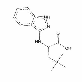 CC(C)(C)CC(Nc1n[nH]c2ccccc12)C(=O)O